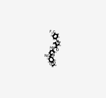 Cc1c(C(=O)Nc2ccc(C3(C#N)CCC4(CC3)OCCO4)nc2)cnn1-c1ccc(C(F)(F)F)cc1